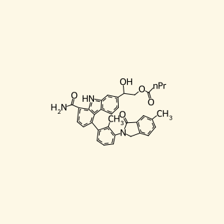 CCCC(=O)OCC(O)c1ccc2c(c1)[nH]c1c(C(N)=O)ccc(-c3cccc(N4Cc5ccc(C)cc5C4=O)c3C)c12